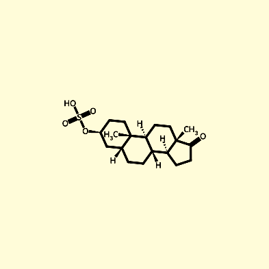 C[C@]12CC[C@H](OS(=O)(=O)O)C[C@H]1CC[C@@H]1[C@@H]2CC[C@]2(C)C(=O)CC[C@@H]12